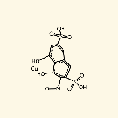 O=Nc1c(S(=O)(=O)O)cc2cc(S(=O)(=O)O)cc(O)c2c1O.[Cu]